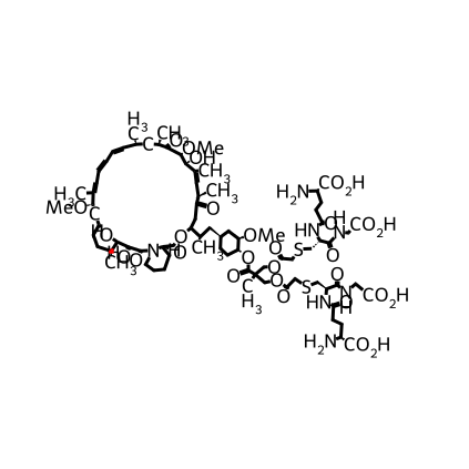 CO[C@H]1C[C@@H]2CC[C@@H](C)[C@@H](O2)C(=O)C(=O)N2CCCC[C@H]2C(=O)OC([C@H](C)C[C@@H]2CC[C@@H](OC(=O)C(C)(COC(=O)CSC[C@H](NC(=O)CC[C@H](N)C(=O)O)C(=O)NCC(=O)O)COC(=O)CSC[C@H](NC(=O)CC[C@H](N)C(=O)O)C(=O)NCC(=O)O)[C@H](OC)C2)CC(=O)[C@H](C)/C=C(\C)[C@@H](O)[C@@H](OC)C(=O)[C@H](C)C[C@@H](C)\C=C/C=C/C=C/1C